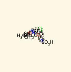 CC(OCC1(c2ccc(F)cc2)CCN(C(=O)O)CC1)c1cc(Cl)cc2cn(COCC[Si](C)(C)C)nc12